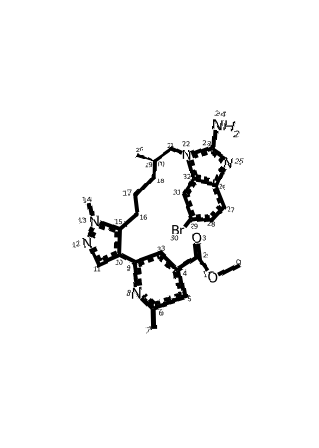 COC(=O)c1cc(C)nc(-c2cnn(C)c2CCC[C@@H](C)Cn2c(N)nc3ccc(Br)cc32)c1